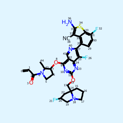 C=CC(=O)N1CCC(Oc2nc(OCC34CCCN3CC(F)C4)nc3c(F)c(-c4ccc(F)c5sc(N)c(C#N)c45)ncc23)C1C